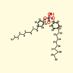 CCCCCCCCCc1ccc(OP(=O)(O)Oc2ccc(CCCCCCCCC)cc2)cc1